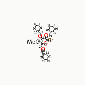 CO[C@H]1[C@H](OCc2ccccc2)[C@@H](OCc2ccccc2)C(Br)O[C@@H]1COCc1ccccc1